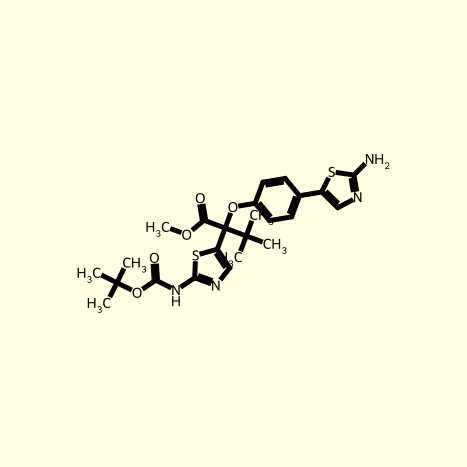 COC(=O)C(Oc1ccc(-c2cnc(N)s2)cc1)(c1cnc(NC(=O)OC(C)(C)C)s1)C(C)(C)C